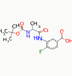 CC(NC(=O)OC(C)(C)C)C(=O)Nc1cc(C(=O)O)ccc1F